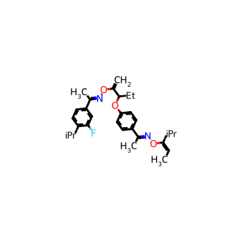 C=C(O/N=C(\C)c1ccc(C(C)C)c(F)c1)C(CC)Oc1ccc(/C(C)=N/O/C(=C\C)C(C)C)cc1